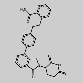 NC(=O)c1ncccc1CCc1ccc(-c2cccc3c2CN(C2CCC(=O)NC2=O)C3=O)cc1